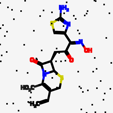 C=CC1=C(C(=O)O)N2C(=O)[C@@H](CC(=O)/C(=N\O)c3csc(N)n3)C2SC1